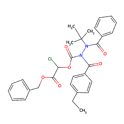 CCc1ccc(C(=O)N(C(=O)OC(Cl)C(=O)OCc2ccccc2)N(C(=O)c2ccccc2)C(C)(C)C)cc1